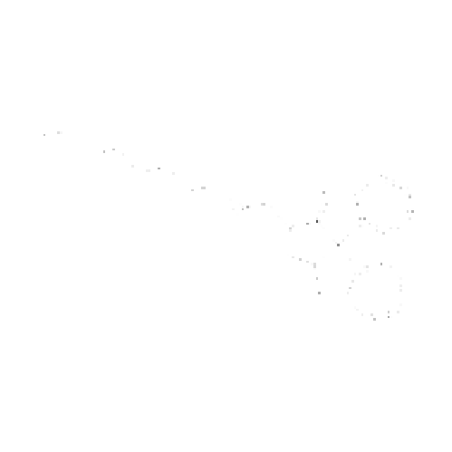 CCOCCCCCOCNC(=O)C(c1ccccc1)(c1ccccc1)C(C)C